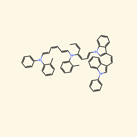 C\C=C/C(=C\C=C\n1cc(/C=C\c2cn(-c3ccccc3)c3ccccc23)c2ccccc21)N(/C=C/C=C\C=C\N(c1ccccc1)c1ccccc1C)c1ccccc1C